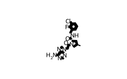 C[C@@H]1C[C@@H](C(=O)NCc2cccc(Cl)c2F)N(C(=O)Cn2cnc3c(N)ncnc32)C1